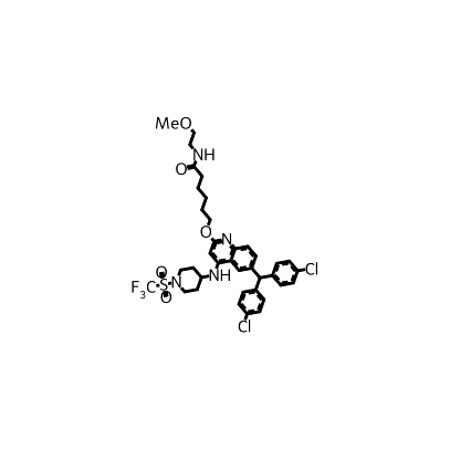 COCCNC(=O)CCCCCOc1cc(NC2CCN(S(=O)(=O)C(F)(F)F)CC2)c2cc(C(c3ccc(Cl)cc3)c3ccc(Cl)cc3)ccc2n1